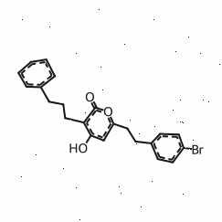 O=c1oc(CCc2ccc(Br)cc2)cc(O)c1CCCc1ccccc1